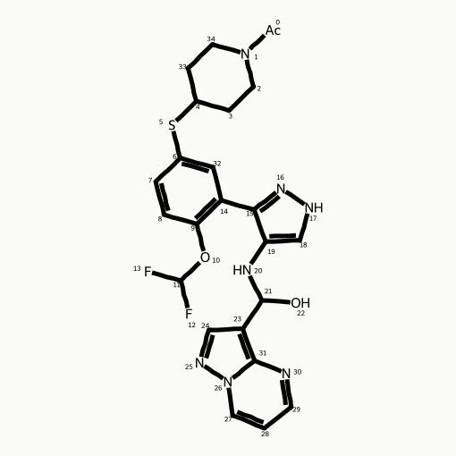 CC(=O)N1CCC(Sc2ccc(OC(F)F)c(-c3n[nH]cc3NC(O)c3cnn4cccnc34)c2)CC1